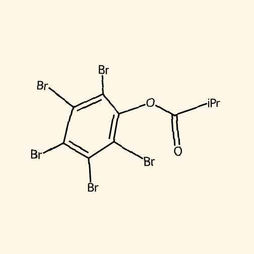 CC(C)C(=O)Oc1c(Br)c(Br)c(Br)c(Br)c1Br